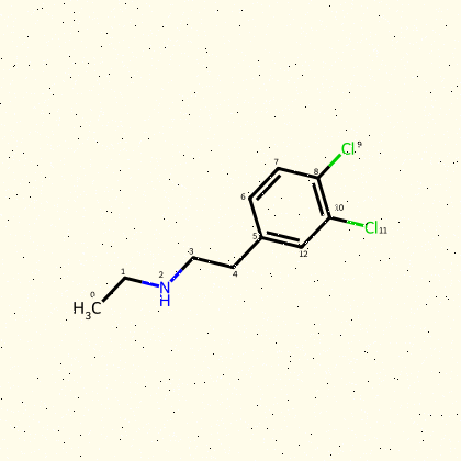 CCNCCc1ccc(Cl)c(Cl)c1